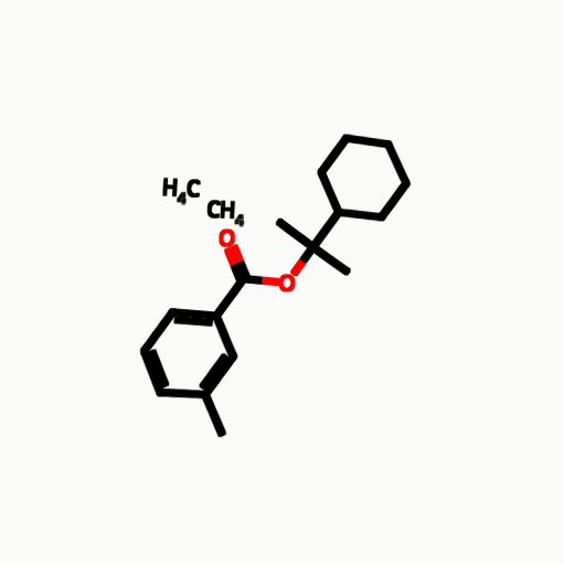 C.C.Cc1cccc(C(=O)OC(C)(C)C2CCCCC2)c1